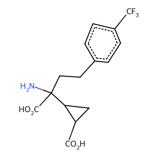 NC(CCc1ccc(C(F)(F)F)cc1)(C(=O)O)C1CC1C(=O)O